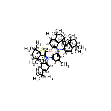 Cc1cc2c3c(c1)N(c1cc4c(cc1C)C(C)(C)CCC4(C)C)c1c(ccc4c1C(C)(C)CCC4(C)C)B3c1sc3c(c1N2c1ccc(C(C)(C)C)cc1)C(C)(C)CCC3(C)C